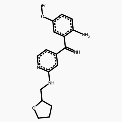 CC(C)Oc1ccc(N)c(C(=N)c2ccnc(NCC3CCCO3)c2)c1